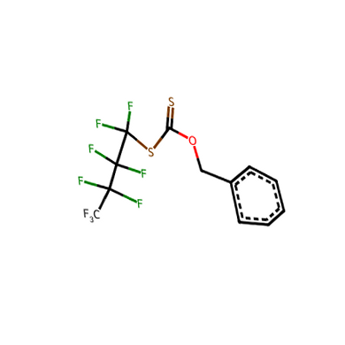 FC(F)(F)C(F)(F)C(F)(F)C(F)(F)SC(=S)OCc1ccccc1